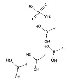 CS(=O)(=O)O.OB(O)F.OB(O)F.OB(O)F.OB(O)F